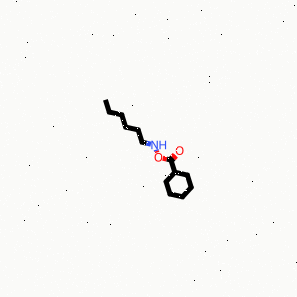 CCCCCCNOC(=O)C1CCCCC1